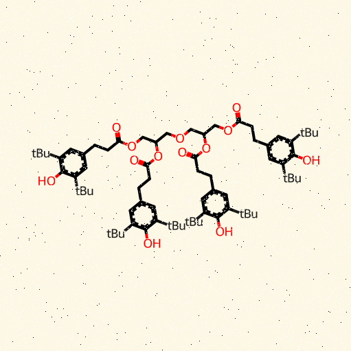 CC(C)(C)c1cc(CCC(=O)OCC(COCC(COC(=O)CCc2cc(C(C)(C)C)c(O)c(C(C)(C)C)c2)OC(=O)CCc2cc(C(C)(C)C)c(O)c(C(C)(C)C)c2)OC(=O)CCc2cc(C(C)(C)C)c(O)c(C(C)(C)C)c2)cc(C(C)(C)C)c1O